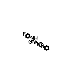 O=C(Nc1ccc(F)cc1)N1CC(N2CCN(c3ccccc3)CC2)C1